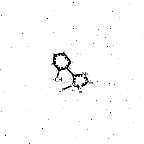 Cc1ccccc1-c1nnnn1I